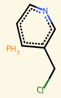 ClCc1cccnc1.P